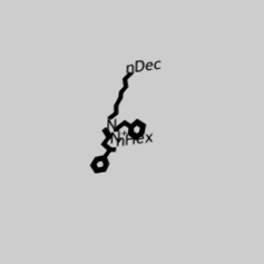 CCCCCCCCCCCCCCCCCCn1cc(CC(C)c2ccccc2)[n+](CCCCCC)c1Cc1ccccc1